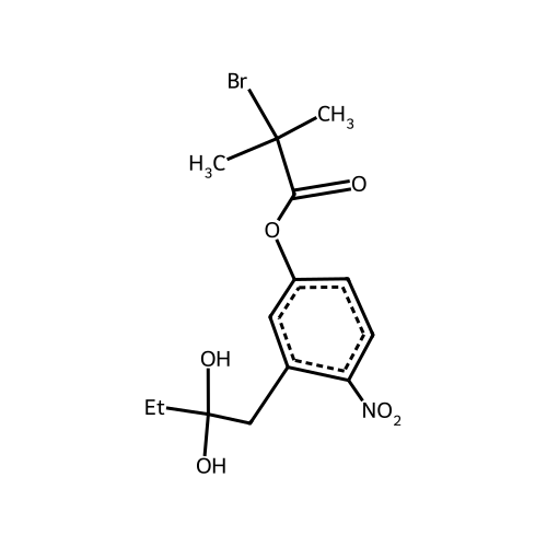 [CH2]CC(O)(O)Cc1cc(OC(=O)C(C)(C)Br)ccc1[N+](=O)[O-]